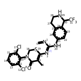 C=N/C(=N\C1=C(C)C(=O)N(c2c(Cl)cccc2Cl)CS1)Nc1ccc2c(c1)CCNC2C(F)(F)F